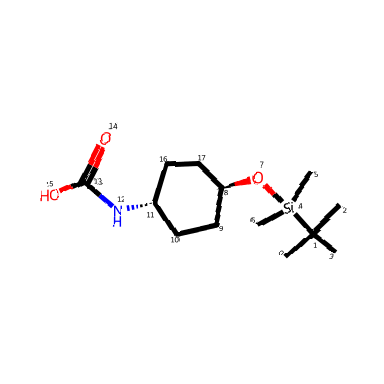 CC(C)(C)[Si](C)(C)O[C@H]1CC[C@H](NC(=O)O)CC1